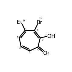 CCc1cccc(=O)c(O)c1Br